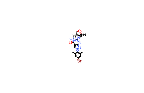 Cc1cc(Br)cc(C)c1-n1cc2c(=O)[nH]c(N3C[C@@H]4C[C@H]3CO4)nc2n1